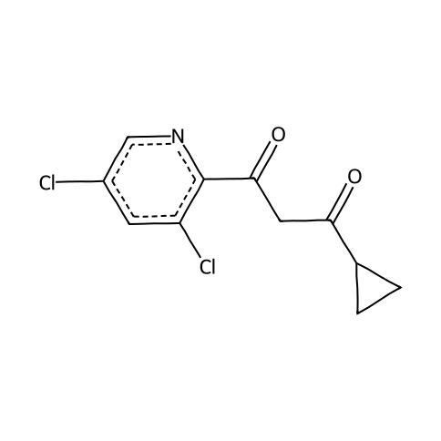 O=C(CC(=O)C1CC1)c1ncc(Cl)cc1Cl